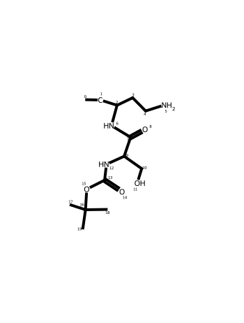 CCC(CCN)NC(=O)C(CO)NC(=O)OC(C)(C)C